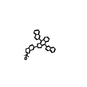 CP(C)(=O)C1=CCC2C=CC(c3ccc4c(-c5ccc6ccccc6c5)c5ccccc5c(-c5ccc6ccccc6c5)c4c3)=CC2=C1